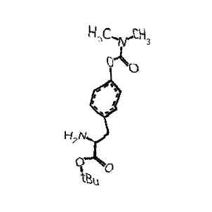 CN(C)C(=O)Oc1ccc(C[C@H](N)C(=O)OC(C)(C)C)cc1